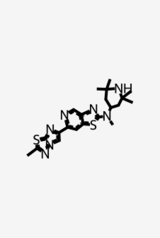 Cc1nn2cc(-c3cc4sc(N(C)C5CC(C)(C)NC(C)(C)C5)nc4cn3)nc2s1